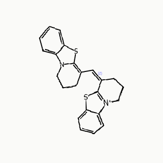 C(/C1=C2Sc3ccccc3N2CCC1)=C1\CCC[n+]2c1sc1ccccc12